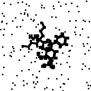 CCCCC(N)(CCCC)CSc1c(C(=O)c2ccccc2)ccc([N+](=O)[O-])c1OC